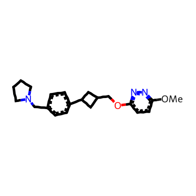 COc1ccc(OCC2CC(c3ccc(CN4CCCC4)cc3)C2)nn1